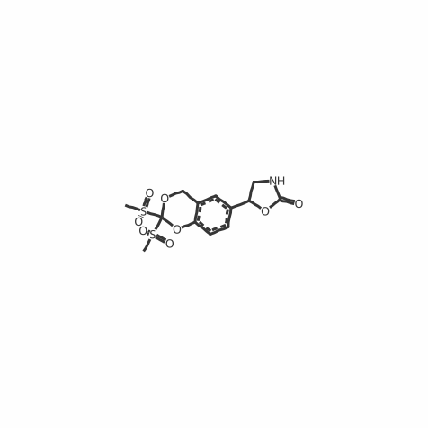 CS(=O)(=O)C1(S(C)(=O)=O)OCc2cc(C3CNC(=O)O3)ccc2O1